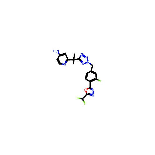 CC(C)(c1cc(N)ccn1)c1nnn(Cc2ccc(-c3nnc(C(F)F)o3)c(F)c2)n1